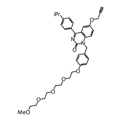 C#CCOc1ccc2c(c1)c(-c1ccc(C(C)C)cc1)nc(=O)n2Cc1ccc(OCCOCCOCCOCCOC)cc1